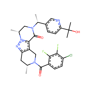 C[C@@H]1Cc2nn3c(c2CN1C(=O)c1ccc(Cl)c(F)c1F)C(=O)N([C@H](C)c1ccc(C(C)(C)O)nc1)C[C@H]3C